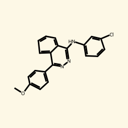 COc1ccc(-c2nnc(Nc3cccc(Cl)c3)c3ccccc23)cc1